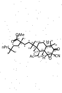 CCCC(C)(C)CC[C@@](C)(CCC(C)(C)[C@]1(C)CC[C@H]2C(C)(C)C(=O)[C@]3(C#N)O[C@@H]3[C@]2(C)[C@H]1CC(C)=O)C(=O)OC